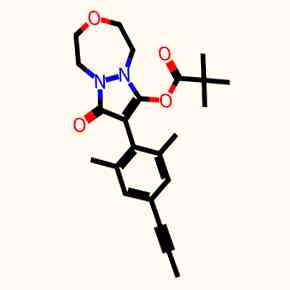 CC#Cc1cc(C)c(-c2c(OC(=O)C(C)(C)C)n3n(c2=O)CCOCC3)c(C)c1